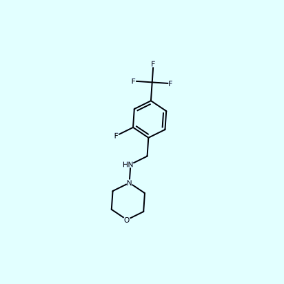 Fc1cc(C(F)(F)F)ccc1CNN1CCOCC1